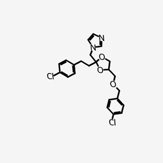 Clc1ccc(CCC2(Cn3ccnc3)OCC(COCc3ccc(Cl)cc3)O2)cc1